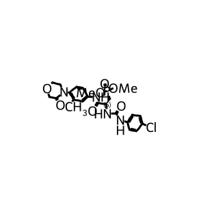 COP(=O)(C[C@@H](NC(=O)Nc1ccc(Cl)cc1)C(=O)Nc1ccc(N2CCOCC2=O)c(C)c1)OC